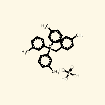 Cc1ccc(C[PH](c2cccc(C)c2)(c2cccc(C)c2)c2cccc(C)c2)cc1.O=P(O)(O)O